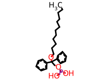 CCCCCCCCCCCCOC(COP(O)O)(c1ccccc1)c1ccccc1